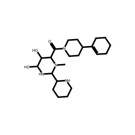 CN1C(C2CCCCN2)NC(O)C(O)C1C(=O)N1CCC(C2=CCCCC2)CC1